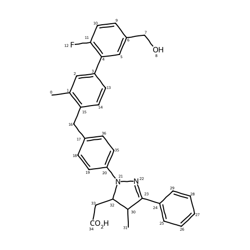 Cc1cc(-c2cc(CO)ccc2F)ccc1Cc1ccc(N2N=C(c3ccccc3)C(C)C2CC(=O)O)cc1